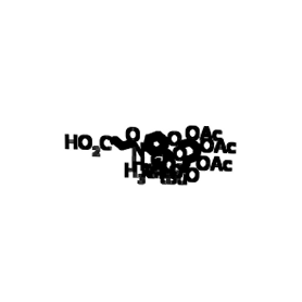 COC(=O)C1O[C@@H](Oc2ccc(NC(=O)CCC(=O)O)cc2CO[Si](C)(C)C(C)(C)C)C(OC(C)=O)C(OC(C)=O)[C@@H]1OC(C)=O